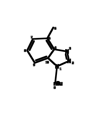 CCCCn1nnc2c(C)cccc21